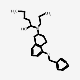 CCCCC(O)N(CCC)C1CCc2c(cccc2OCc2ccccc2)C1